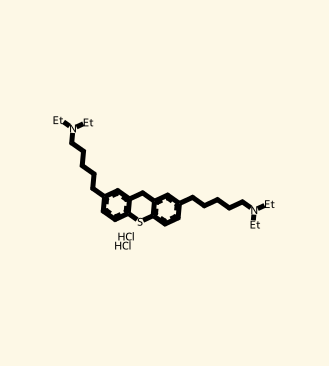 CCN(CC)CCCCCc1ccc2c(c1)Cc1cc(CCCCCN(CC)CC)ccc1S2.Cl.Cl